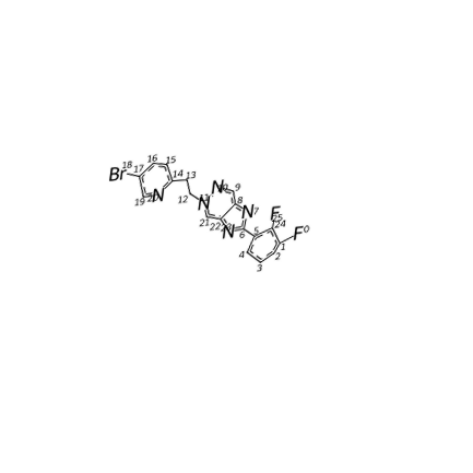 Fc1cccc(-c2nc3cnn(CCc4ccc(Br)cn4)cc-3n2)c1F